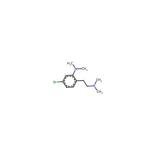 CN(C)CCc1ccc(Br)cc1N(C)C